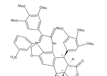 COc1cc(/C(=C\c2cccc([N+](=O)[O-])c2)C(=O)Nc2c3c(cc4c2[C@@H](c2cc(OC)c(OC)c(OC)c2)[C@H]2C(=O)OC[C@@H]2[C@H]4O)OCO3)cc(OC)c1OC